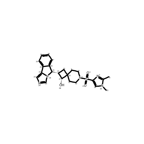 Cc1nc(S(=O)(=O)N2CCC3(CC2)C[C@@H](C2c4ccccc4-c4cncn42)[C@H]3O)cn1C